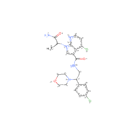 CC(C(N)=O)n1cc(C(=O)NCC(c2ccc(Cl)cc2)N2CCOCC2)c2c(Cl)ccnc21